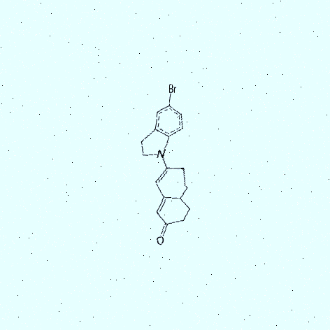 O=C1C=C2C=C(N3CCc4cc(Br)ccc43)CCC2CC1